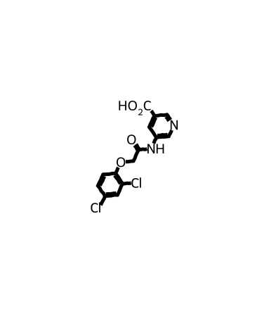 O=C(COc1ccc(Cl)cc1Cl)Nc1cncc(C(=O)O)c1